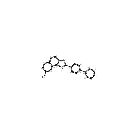 Clc1ccc2ccc3nc(-c4ccc(-c5ccccc5)cc4)oc3c2c1